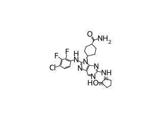 NC(=O)[C@H]1CC[C@@H](n2c(Nc3ccc(Cl)c(F)c3F)nc3cnc(N[C@@H]4CCC[C@H]4O)nc32)CC1